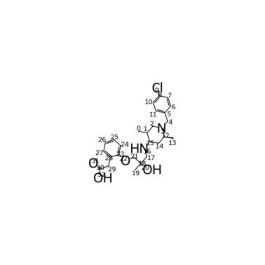 CC1CN(Cc2ccc(Cl)cc2)[C@@H](C)CC1NCC(C)(O)COc1ccccc1CC(=O)O